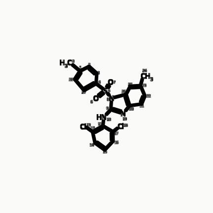 Cc1ccc(S(=O)(=O)n2c(Nc3c(Cl)cccc3Cl)nc3ccc(C)cc32)cc1